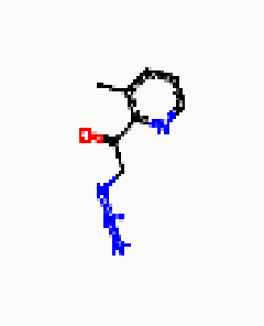 Cc1cccnc1C(=O)CN=[N+]=[N-]